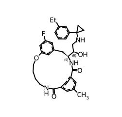 CCc1cccc(C2(NC[C@@H](O)[C@@H]3Cc4cc(F)cc(c4)OCCCCNC(=O)c4cc(C)cc(c4)C(=O)N3)CC2)c1